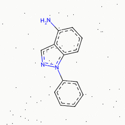 Nc1cccc2c1cnn2-c1ccccc1